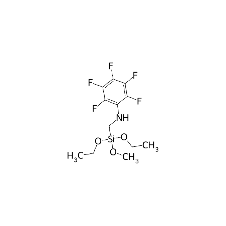 CCO[Si](CNc1c(F)c(F)c(F)c(F)c1F)(OC)OCC